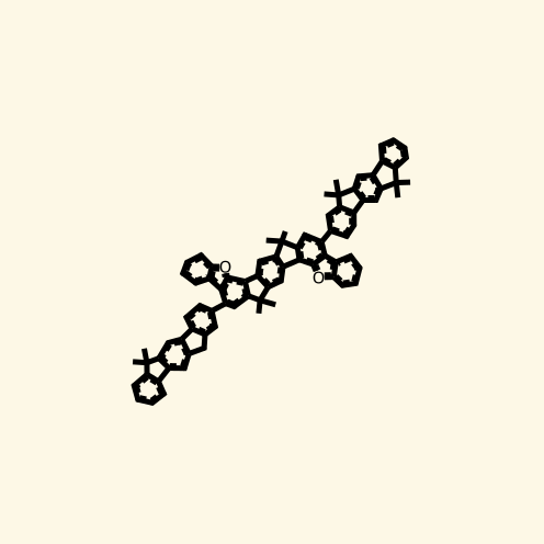 CC1(C)c2ccccc2-c2cc3c(cc21)-c1ccc(-c2cc4c(c5oc6ccccc6c25)-c2cc5c(cc2C4(C)C)-c2c(cc(-c4ccc6c(c4)C(C)(C)c4cc7c(cc4-6)C(C)(C)c4ccccc4-7)c4c2oc2ccccc24)C5(C)C)cc1C3